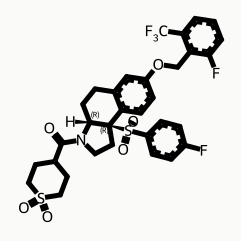 O=C(C1CCS(=O)(=O)CC1)N1CC[C@@]2(S(=O)(=O)c3ccc(F)cc3)c3ccc(OCc4c(F)cccc4C(F)(F)F)cc3CC[C@@H]12